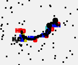 Cc1nc(SCC(=O)O)c2cc(C#CCNC(=O)CCCCCNCC(=O)N3CCN(C(=O)c4cc(Cc5n[nH]c(=O)c6ccccc56)ccc4F)CC3)sc2n1